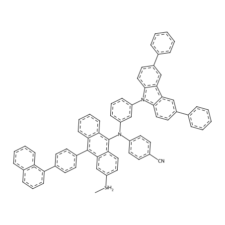 C[SiH2]c1ccc2c(N(c3ccc(C#N)cc3)c3cccc(-n4c5ccc(-c6ccccc6)cc5c5cc(-c6ccccc6)ccc54)c3)c3ccccc3c(-c3ccc(-c4cccc5ccccc45)cc3)c2c1